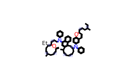 C=C1/C=C\C/C(C)=C\C/C(CC)=C(/C=C\CN(c2ccccc2)c2cc3c(c4ccccc24)/C=C(/N(c2ccccc2)c2ccc4c(c2)C=CC(/C=C\C/C(C)=C\C)O4)C/C=C\C=C/C3C)O1